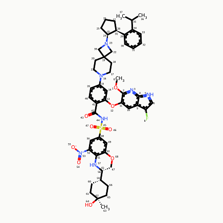 COc1nc2[nH]cc(F)c2cc1Oc1cc(N2CCC3(CC2)CN([C@H]2CCC[C@H]2c2ccccc2C(C)C)C3)ccc1C(=O)NS(=O)(=O)c1cc2c(c([N+](=O)[O-])c1)N[C@@H]([C@H]1CC[C@](C)(O)CC1)CO2